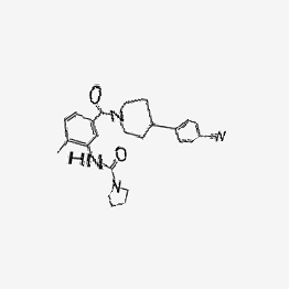 Cc1ccc(C(=O)N2CCC(c3ccc(C#N)cc3)CC2)cc1NC(=O)N1CCCC1